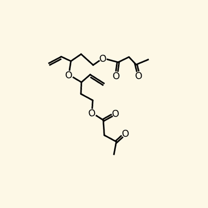 C=CC(CCOC(=O)CC(C)=O)OC(C=C)CCOC(=O)CC(C)=O